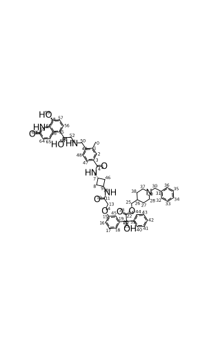 Cc1cc(C(=O)N[C@H]2C[C@H](NC(=O)COc3cccc([C@](O)(C(=O)OCC4CCN(Cc5ccccc5)CC4)c4ccccc4)c3)C2)ccc1CNC[C@H](O)c1ccc(O)c2[nH]c(=O)ccc12